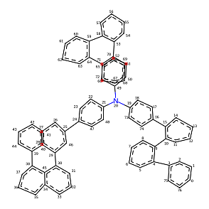 c1ccc(-c2ccccc2-c2ccccc2-c2ccc(N(c3ccc(-c4cccc(-c5cccc6cccc(-c7ccccc7)c56)c4)cc3)c3ccc(-c4ccccc4-c4ccccc4-c4ccccc4)cc3)cc2)cc1